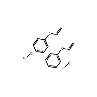 C=C[CH-]c1ccccc1.C=C[CH-]c1ccccc1.[Cl][Pd+].[Cl][Pd+]